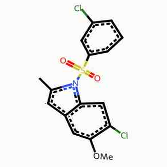 COc1cc2[c]c(C)n(S(=O)(=O)c3cccc(Cl)c3)c2cc1Cl